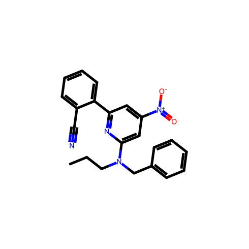 CCCN(Cc1ccccc1)c1cc([N+](=O)[O-])cc(-c2ccccc2C#N)n1